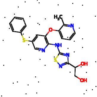 Cc1ncccc1Oc1cc(Sc2ccccc2)cnc1Nc1nc(C(O)CO)ns1